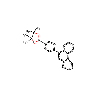 CC1(C)OB(c2ccc(-c3cc4ccccc4c4ccccc34)cc2)OC1(C)C